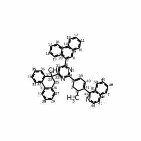 CC1CC(c2nc(-c3cc4ccccc4c4ccccc34)cc(C3(C)Cc4ccccc4-c4ccccc43)n2)=CC=C1c1nccc2ccccc12